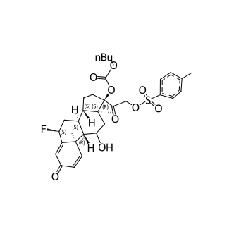 CCCCOC(=O)O[C@]1(C(=O)COS(=O)(=O)c2ccc(C)cc2)CC[C@H]2[C@@H]3C[C@H](F)C4=CC(=O)C=C[C@]4(C)[C@H]3C(O)C[C@@]21C